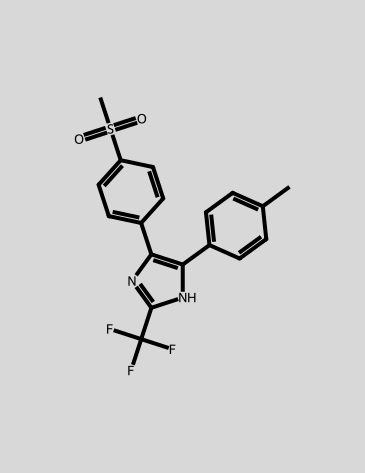 Cc1ccc(-c2[nH]c(C(F)(F)F)nc2-c2ccc(S(C)(=O)=O)cc2)cc1